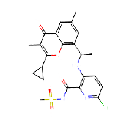 Cc1cc([C@@H](C)Nc2ccc(Cl)nc2C(=O)NS(C)(=O)=O)c2oc(C3CC3)c(C)c(=O)c2c1